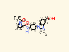 O=C(Nc1ccc(-n2c(C(F)(F)F)nc3cc(CO)ccc32)cc1)c1cccn1C(=O)C(F)(F)F